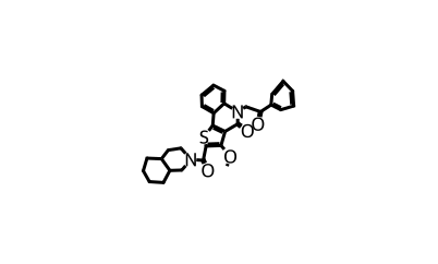 COc1c(C(=O)N2CCC3CCCCC3C2)sc2c1c(=O)n(CC(=O)c1ccccc1)c1ccccc21